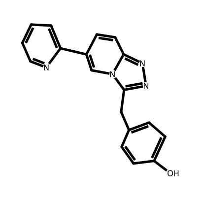 Oc1ccc(Cc2nnc3ccc(-c4ccccn4)cn23)cc1